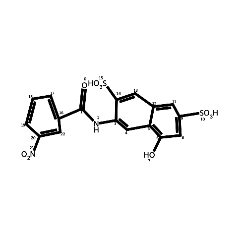 O=C(Nc1cc2c(O)cc(S(=O)(=O)O)cc2cc1S(=O)(=O)O)c1cccc([N+](=O)[O-])c1